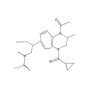 CCC(CN(C)C(C)C)c1ccc2c(c1)N(C(=O)C1CC1)CC(C)N2C(C)=O